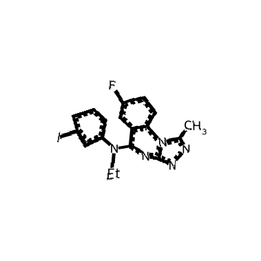 CCN(c1cccc(I)c1)c1nc2nnc(C)n2c2ccc(F)cc12